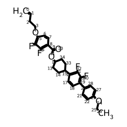 C=CCCOc1ccc(C(=O)OC2CCC(c3ccc(-c4ccc(OCC)cc4)c(F)c3F)CC2)c(F)c1F